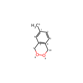 Cc1ccc2c(c1)COOC2